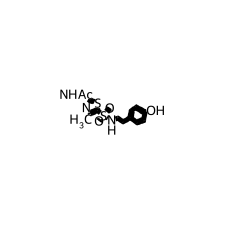 CC(=O)Nc1nc(C)c(S(=O)(=O)NCCc2ccc(O)cc2)s1